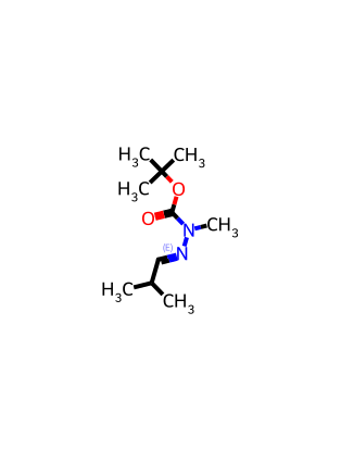 CC(C)/C=N/N(C)C(=O)OC(C)(C)C